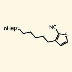 CCCCCCCCCCCCc1ccsc1C#N